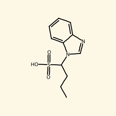 CCCC(n1cnc2ccccc21)S(=O)(=O)O